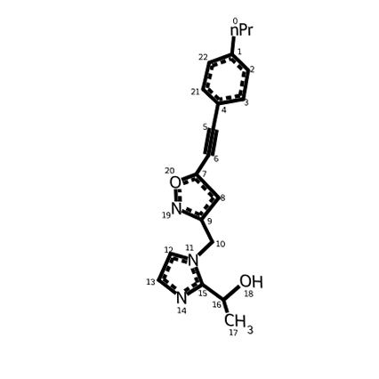 CCCc1ccc(C#Cc2cc(Cn3ccnc3C(C)O)no2)cc1